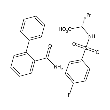 CC(C)[C@H](NS(=O)(=O)c1ccc(F)cc1)C(=O)O.NC(=O)c1ccccc1-c1ccccc1